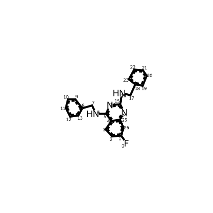 Fc1ccc2c(NCc3ccccc3)nc(NCc3ccccc3)nc2c1